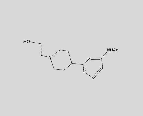 CC(=O)Nc1cccc(C2CCN(CCO)CC2)c1